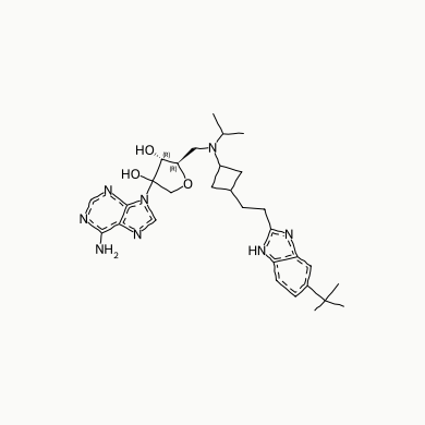 CC(C)N(C[C@H]1OCC(O)(n2cnc3c(N)ncnc32)[C@@H]1O)C1CC(CCc2nc3cc(C(C)(C)C)ccc3[nH]2)C1